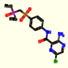 COP(=O)(CS(=O)(=O)c1ccc(NC(=O)c2nc(Br)cnc2N)cc1)OC